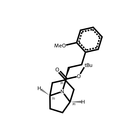 COc1ccccc1CC[C@H]1C[C@H]2CC[C@@H](C1)N2C(=O)OC(C)(C)C